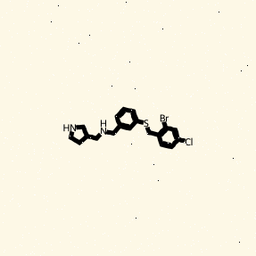 Clc1ccc(CSc2cccc(CNCC3CCNC3)c2)c(Br)c1